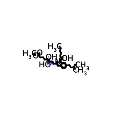 CCCCC[C@@H](O)c1nc(/C=C/[C@@H](O)[C@@H](O)CCCC(=O)OC)cc2ccc(CCC(C)CC)cc12